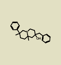 CC1(c2ccccc2)CCC2(C)CC(O)(Cc3ccccc3)CCN2C1